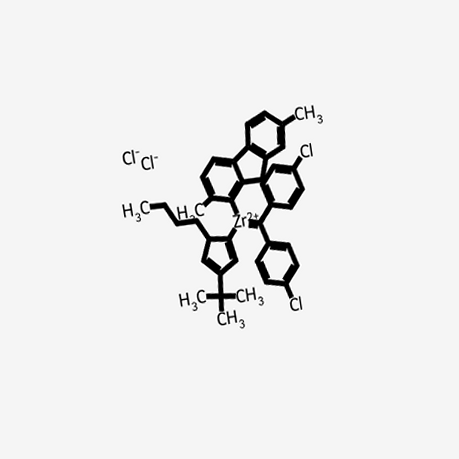 CCCCC1C=C(C(C)(C)C)C=[C]1[Zr+2](=[C](c1ccc(Cl)cc1)c1ccc(Cl)cc1)[c]1c(C)ccc2c1Cc1cc(C)ccc1-2.[Cl-].[Cl-]